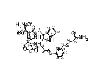 CC[C@H](C)[C@H](NC(=O)[C@H](Cc1c[nH]c2ccccc12)NC(=O)C1(NC(=O)CCSCc2cccc(CSCCC(N)=O)n2)CCOCC1)C(N)=O